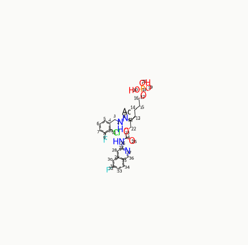 CC(=O)N(NCc1cccc(F)c1Cl)[C@@H](CCCCOP(=O)(O)O)COC(=O)Nc1cc2cc(F)ccc2cn1